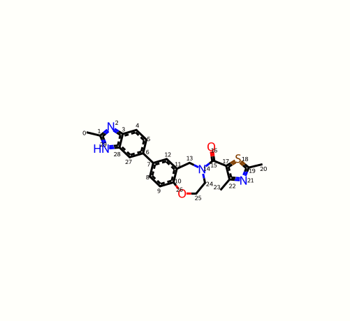 Cc1nc2ccc(-c3ccc4c(c3)CN(C(=O)c3sc(C)nc3C)CCO4)cc2[nH]1